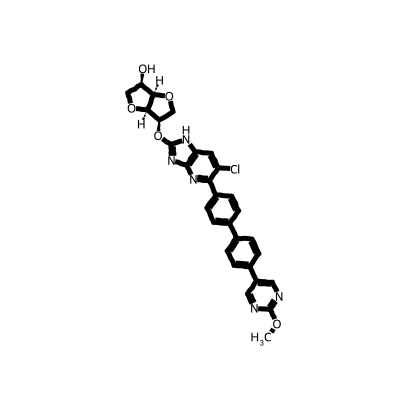 COc1ncc(-c2ccc(-c3ccc(-c4nc5nc(O[C@@H]6CO[C@H]7[C@@H]6OC[C@H]7O)[nH]c5cc4Cl)cc3)cc2)cn1